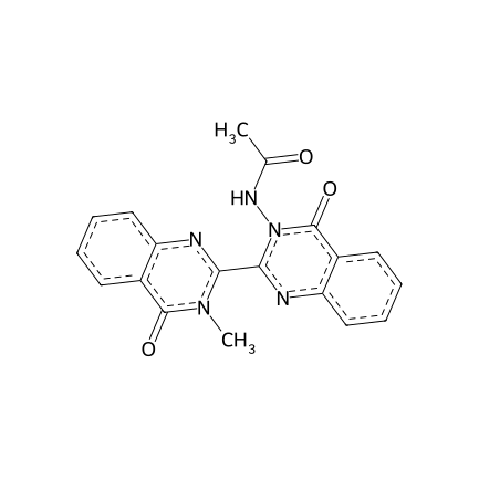 CC(=O)Nn1c(-c2nc3ccccc3c(=O)n2C)nc2ccccc2c1=O